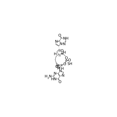 Nc1nc2c(ncn2[C@@H]2OC3CC[C@H]4C[C@H](c5cnc6c(=O)[nH]cnn56)O[C@@H]4COP(=O)(S)O[C@@H]2[C@@H]3F)c(=O)[nH]1